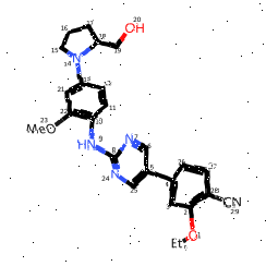 CCOc1cc(-c2cnc(Nc3ccc(N4CCCC4CO)cc3OC)nc2)ccc1C#N